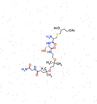 CC(=O)OCC[C@H](CSCC(N)C(=O)N[C@@H](CO)C(=O)NCCOC(C)(C)CCOC(C)(C)CCC(=O)NCC(N)=O)OC(C)=O